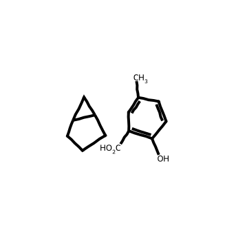 C1CC2CC2C1.Cc1ccc(O)c(C(=O)O)c1